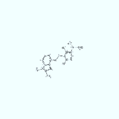 Cc1nc2c(OCc3c(Cl)ccc(N(C)C=O)c3Cl)cccn2c1Br